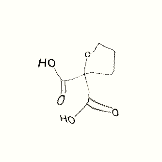 O=C(O)C1(C(=O)O)CCCO1